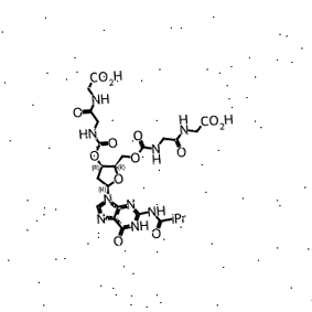 CC(C)C(=O)Nc1nc2c(ncn2[C@H]2C[C@@H](OC(=O)NCC(=O)NCC(=O)O)[C@@H](COC(=O)NCC(=O)NCC(=O)O)O2)c(=O)[nH]1